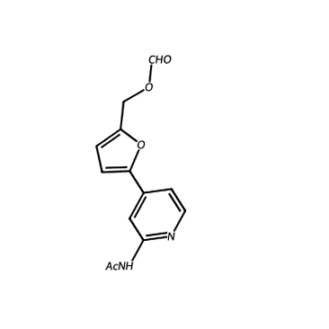 CC(=O)Nc1cc(-c2ccc(COC=O)o2)ccn1